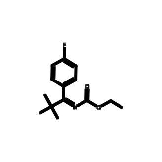 CCOC(=O)/N=C(\c1ccc(F)cc1)C(C)(C)C